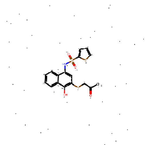 CC(=O)CSc1cc(NS(=O)(=O)c2cccs2)c2ccccc2c1O